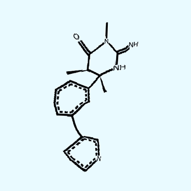 C[C@H]1C(=O)N(C)C(=N)N[C@]1(C)c1cccc(-c2cccnc2)c1